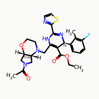 CCOC(=O)C1=C(CN2CCO[C@H]3CN(C(C)=O)C[C@H]32)NC(c2nccs2)=N[C@H]1c1cccc(F)c1C